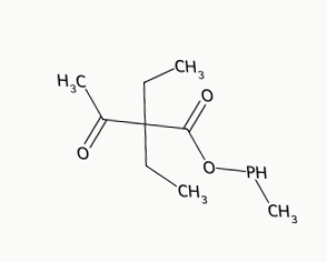 CCC(CC)(C(C)=O)C(=O)OPC